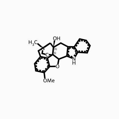 COc1ccc2c3c1OC1c4[nH]c5ccccc5c4C[C@@]4(O)C(C2)N(C)CC[C@]314